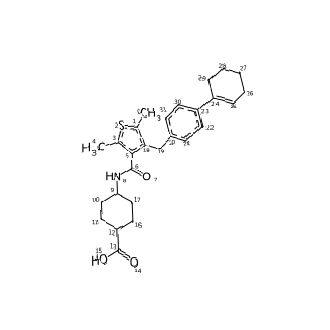 Cc1sc(C)c(C(=O)NC2CCC(C(=O)O)CC2)c1Cc1ccc(C2=CCCCC2)cc1